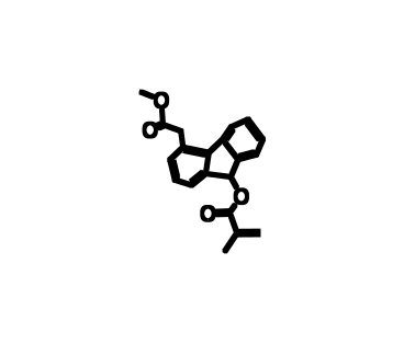 C=C(C)C(=O)OC1c2ccccc2-c2c(CC(=O)OC)cccc21